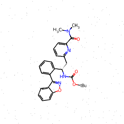 CN(C)C(=O)c1cccc(C[C@H](NC(=O)OC(C)(C)C)c2ccccc2-c2noc3ccccc23)n1